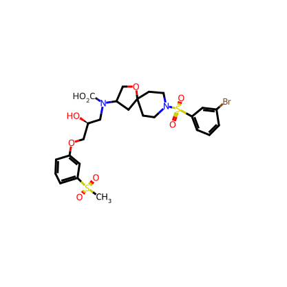 CS(=O)(=O)c1cccc(OC[C@@H](O)CN(C(=O)O)C2COC3(CCN(S(=O)(=O)c4cccc(Br)c4)CC3)C2)c1